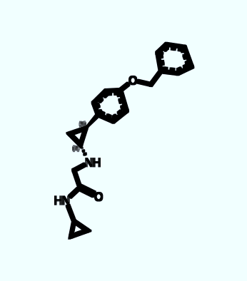 O=C(CN[C@@H]1C[C@H]1c1ccc(OCc2ccccc2)cc1)NC1CC1